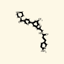 Nc1ccc(C=CC(=O)NCc2cc3cc(-c4ccc(C(=O)N5CCNCC5)cn4)cc(C(F)(F)F)c3o2)cn1